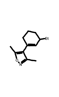 CCC1C=C(c2c(C)noc2C)CCC1